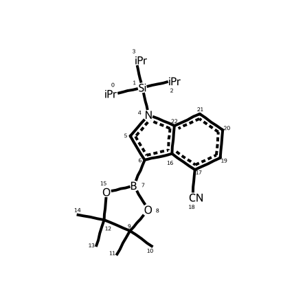 CC(C)[Si](C(C)C)(C(C)C)n1cc(B2OC(C)(C)C(C)(C)O2)c2c(C#N)cccc21